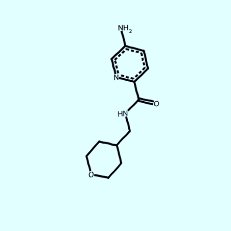 Nc1ccc(C(=O)NCC2CCOCC2)nc1